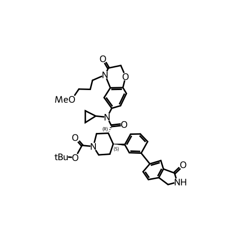 COCCCN1C(=O)COc2ccc(N(C(=O)[C@H]3CN(C(=O)OC(C)(C)C)CC[C@@H]3c3cccc(-c4ccc5c(c4)C(=O)NC5)c3)C3CC3)cc21